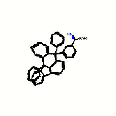 CNC(=N)c1cccc(C2(c3ccccc3)c3ccccc3C3(c4ccccc4)c4ccccc4-c4cccc2c43)c1